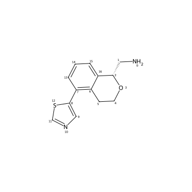 NC[C@@H]1OCCc2c(-c3cncs3)cccc21